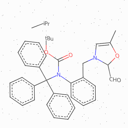 CC(C)C.CC1=CN(Cc2ccccc2N(C(=O)OC(C)(C)C)C(c2ccccc2)(c2ccccc2)c2ccccc2)C(C=O)O1